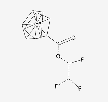 O=C(OC(F)C(F)F)[C]12[CH]3[CH]4[CH]5[CH]1[Fe]45321678[CH]2[CH]1[CH]6[CH]7[CH]28